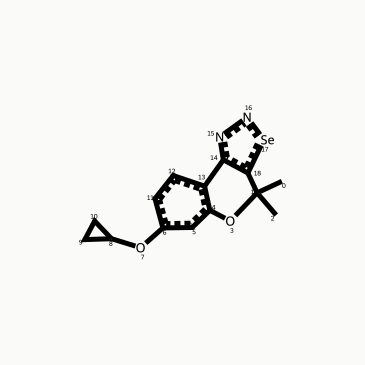 CC1(C)Oc2cc(OC3CC3)ccc2-c2nn[se]c21